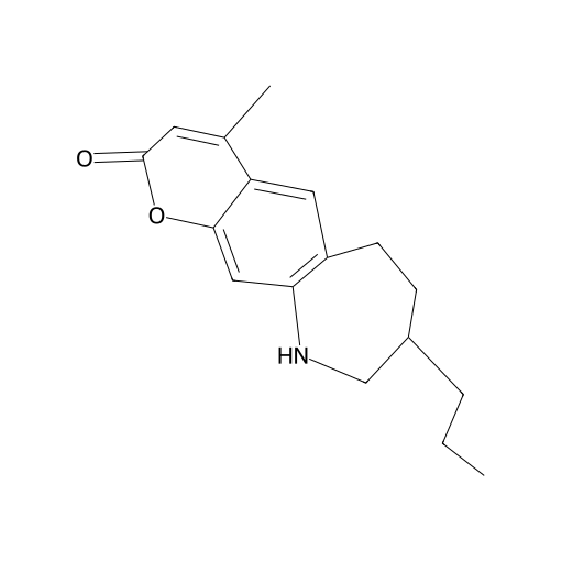 CCCC1CCc2cc3c(C)cc(=O)oc3cc2NC1